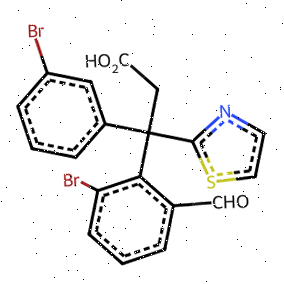 O=Cc1cccc(Br)c1C(CC(=O)O)(c1cccc(Br)c1)c1nccs1